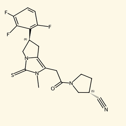 Cn1c(CC(=O)N2CC[C@H](C#N)C2)c2n(c1=S)C[C@@H](c1c(F)ccc(F)c1F)C2